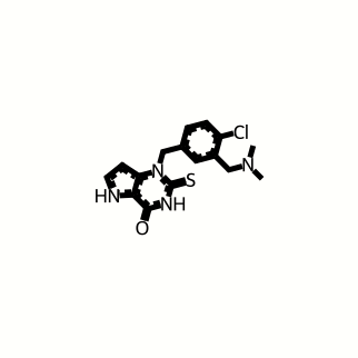 CN(C)Cc1cc(Cn2c(=S)[nH]c(=O)c3[nH]ccc32)ccc1Cl